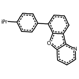 CC(C)c1ccc(-c2cccc3c2oc2cccnc23)cc1